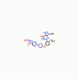 CCCc1nn(C)c2c(=O)[nH]c(-c3cc(OC4CCN(c5ncc(C(=O)NO)cn5)CC4)ccc3OCC)nc12